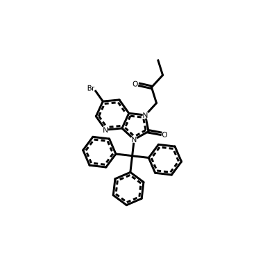 CCC(=O)Cn1c(=O)n(C(c2ccccc2)(c2ccccc2)c2ccccc2)c2ncc(Br)cc21